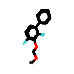 CCOCOc1c(F)ccc(-c2ccccc2)c1F